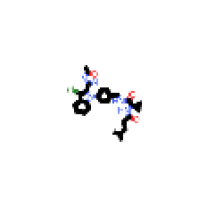 Cc1nc(-c2c(Cl)c3ccccc3n2-c2ccc(CNC(=O)C3(NC(=O)CCC(C)C)CC3)cc2)no1